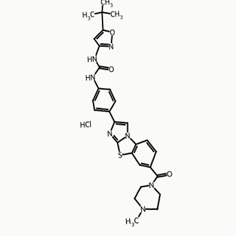 CN1CCN(C(=O)c2ccc3c(c2)sc2nc(-c4ccc(NC(=O)Nc5cc(C(C)(C)C)on5)cc4)cn23)CC1.Cl